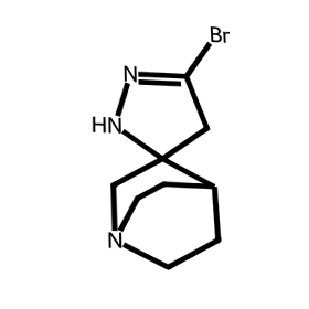 BrC1=NNC2(C1)CN1CCC2CC1